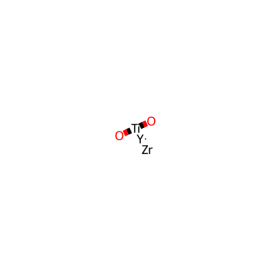 [O]=[Ti]=[O].[Y].[Zr]